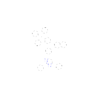 c1ccc(-c2cc(-c3ccc(-c4cc5c(cc4-c4ccc6ccccc6c4)-c4ccccc4C5(c4ccccc4)c4ccccc4)cc3)nc(-c3ccccc3)n2)cc1